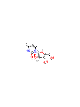 C=C1C=CN([C@@H]2OC(CO)[C@H](O)C2(C)O)C(=O)N1